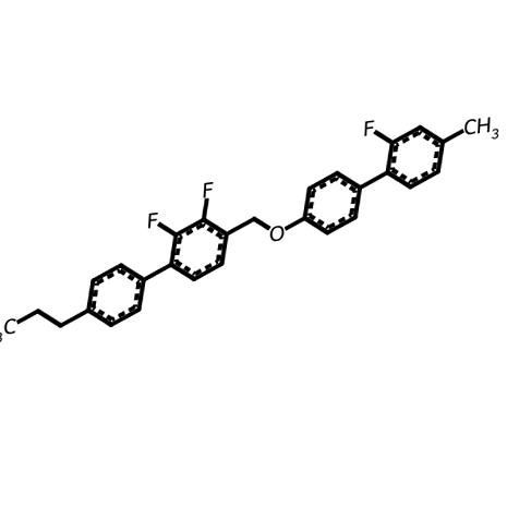 CCCc1ccc(-c2ccc(COc3ccc(-c4ccc(C)cc4F)cc3)c(F)c2F)cc1